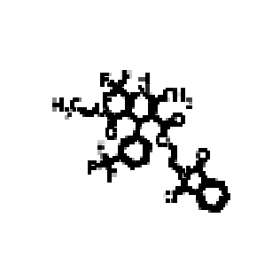 CCOC(=O)C1=C(C(F)(F)F)NC(C)=C(C(=O)OCCN2C(=O)c3ccccc3C2=O)C1c1cccc(C(F)(F)F)c1